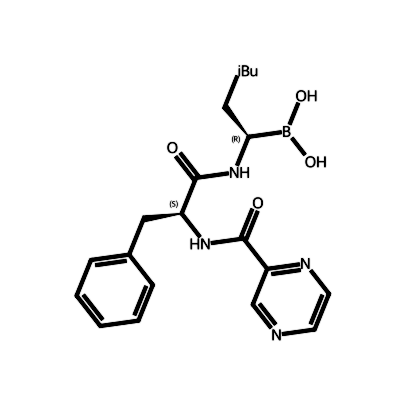 CCC(C)C[C@H](NC(=O)[C@H](Cc1ccccc1)NC(=O)c1cnccn1)B(O)O